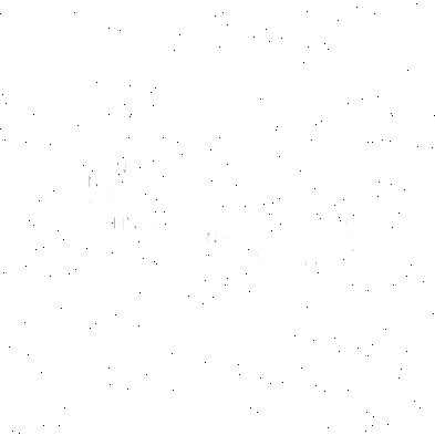 CCC(/C=C(\N)c1ccc(NC(=O)c2ccn3c(C)cc(C)nc23)cc1)CCOCCOCCC(C)=S